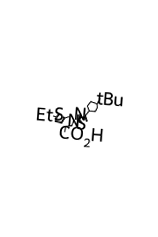 CCc1ccc(CN(CCC(=O)O)c2nc(C3CCC(C(C)(C)C)CC3)cs2)s1